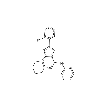 Fc1ccccc1-c1cn2c(Nc3ccccc3)nc3c(c2n1)CCCC3